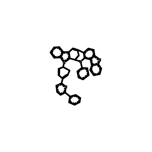 C1=CC(n2c3c(c4ccccc42)C=C2CC3N(c3ccccc3)c3c2ccc2sc4ccccc4c32)CC=C1c1cccc(-c2ccccc2)n1